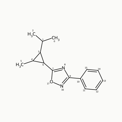 CC(C)C1C(C)C1c1nc(-c2ccccc2)no1